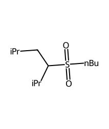 CCCCS(=O)(=O)C(CC(C)C)C(C)C